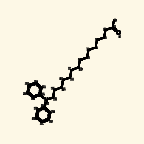 CC(=O)CCCCCCCCCCCCCCN(c1ccccc1)c1ccccc1